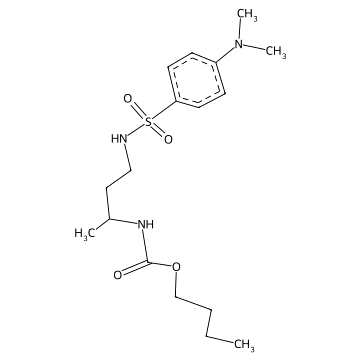 CCCCOC(=O)NC(C)CCNS(=O)(=O)c1ccc(N(C)C)cc1